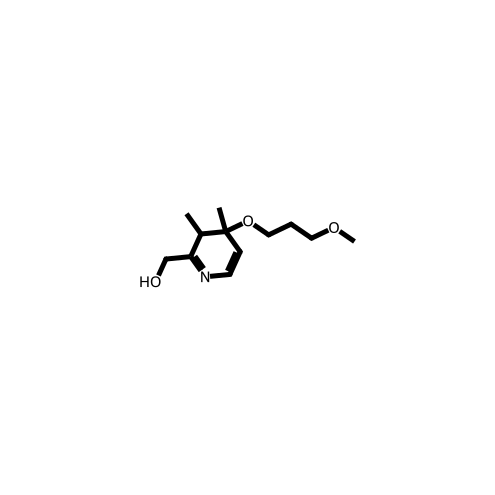 COCCCOC1(C)C=CN=C(CO)C1C